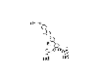 C=C(CO)C(=O)OCOc1cc(-c2ccc(-c3ccc(C4CCC(CCCCCCC)CC4)c(C)c3)cc2CC)ccc1OCOC(=O)C(C)(C)CO